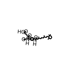 CC1=C(/C=C/C(C)=C/C=C/C(C)=C/C(=O)Nc2ccc(N(NCC=O)C(=O)CCCC(=O)O)cc2)C(C)(C)CCC1